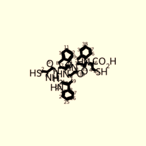 N[C@@H](CS)C(=O)N[C@@H](Cc1ccccc1)C(=O)N[C@@H](Cc1c[nH]c2ccccc12)C(=O)N[C@@H](Cc1ccccc1)C(=O)N[C@@H](CS)C(=O)O